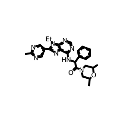 CCn1c(-c2cnc(C)nc2)nc2c(NC(C(=O)N3CC(C)OC(C)C3)c3ccccc3)ncnc21